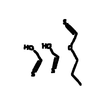 CCCOC=S.OC=S.OC=S